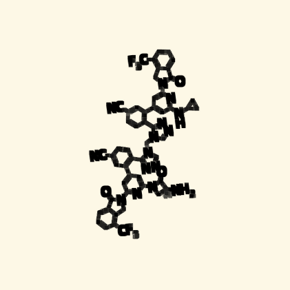 N#Cc1ccc(-c2nncn2Cn2cnnc2-c2ccc(C#N)cc2-c2cc(N3Cc4c(cccc4C(F)(F)F)C3=O)nc(N3C[C@H](N)C3=O)c2)c(-c2cc(NC3CC3)nc(N3Cc4c(cccc4C(F)(F)F)C3=O)c2)c1